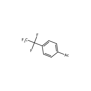 CC(=O)c1ccc(C(F)(F)C(F)(F)F)cc1